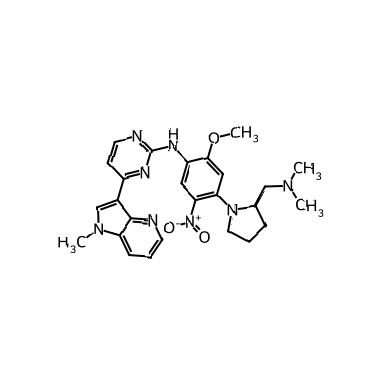 COc1cc(N2CCCC2CN(C)C)c([N+](=O)[O-])cc1Nc1nccc(-c2cn(C)c3cccnc23)n1